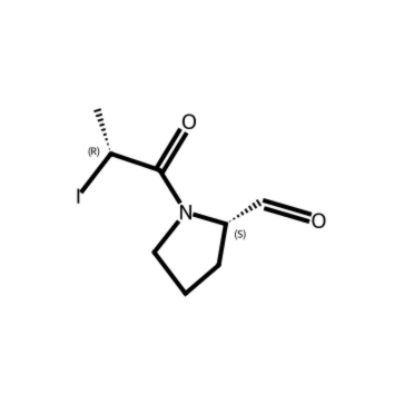 C[C@@H](I)C(=O)N1CCC[C@H]1C=O